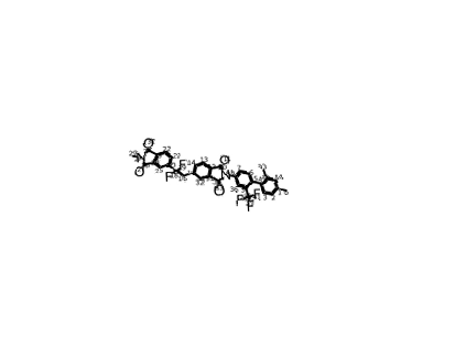 Cc1ccc(-c2ccc(N3C(=O)c4ccc(CC(F)(F)c5ccc6c(c5)C(=O)N(C)C6=O)cc4C3=O)cc2C(F)(F)F)c(C)c1